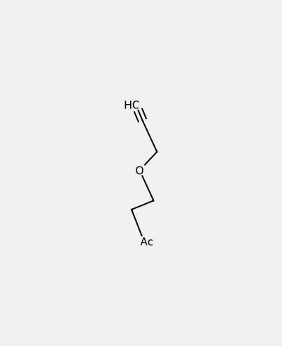 C#CCOCCC(C)=O